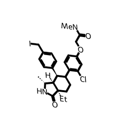 CC[C@@]12CCC(c3ccc(OCC(=O)NC)cc3Cl)[C@H](c3ccc(CI)cc3)[C@@H]1[C@@H](C)NC2=O